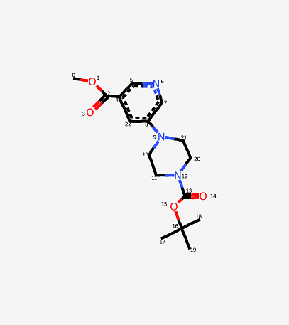 COC(=O)c1cncc(N2CCN(C(=O)OC(C)(C)C)CC2)c1